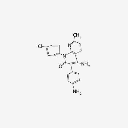 Cc1ccc2c(N)c(-c3ccc(N)cc3)c(=O)n(-c3ccc(Cl)cc3)c2n1